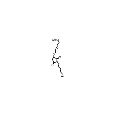 COCCOCCSC1CC(=O)N(CCCCCC(C)=O)C1=O